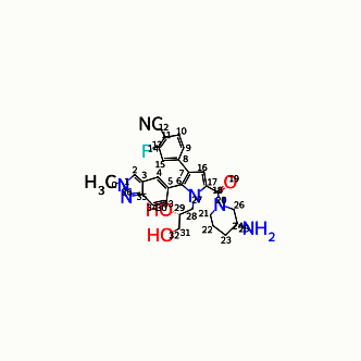 Cn1cc2cc(-c3c(-c4ccc(C#N)c(F)c4)cc(C(=O)N4CCC[C@@H](N)C4)n3C[C@@H](O)CO)ccc2n1